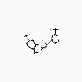 O=c1[nH]c2cc(-c3ccnc(C(F)(F)F)c3)nn2c2cc(C(F)(F)F)ccc12